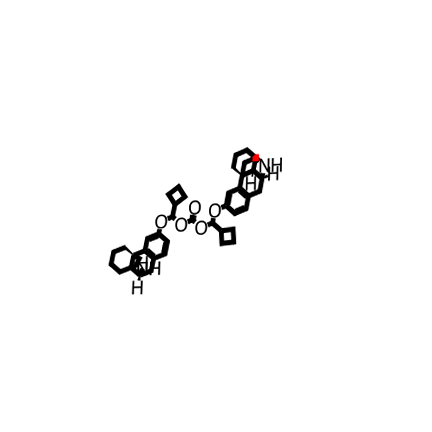 O=C(OC(Oc1ccc2c(c1)[C@@]13CCCC[C@H]1[C@@H](C2)NCC3)C1CCC1)OC(Oc1ccc2c(c1)[C@@]13CCCC[C@H]1[C@@H](C2)NCC3)C1CCC1